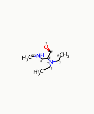 CCN(CC)C(C=O)CNC